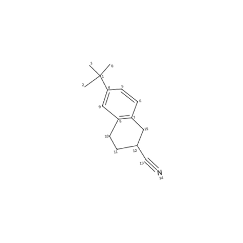 CC(C)(C)c1ccc2c(c1)CCC(C#N)C2